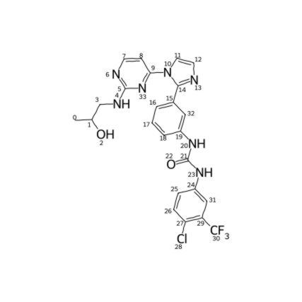 CC(O)CNc1nccc(-n2ccnc2-c2cccc(NC(=O)Nc3ccc(Cl)c(C(F)(F)F)c3)c2)n1